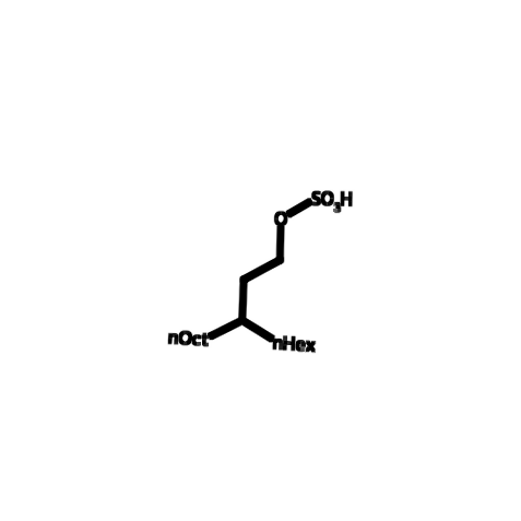 CCCCCCCCC(CCCCCC)CCOS(=O)(=O)O